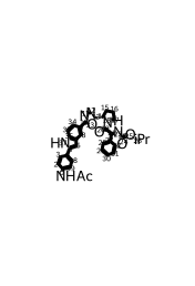 CC(=O)Nc1ccc(-c2cc3cc(-c4nnc([C@@H]5CCCN5C(=O)C(NC(=O)OC(C)C)c5ccccc5)o4)ccc3[nH]2)cc1